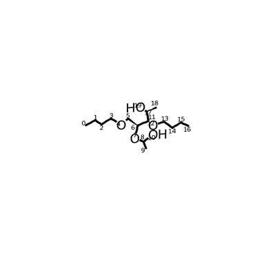 CCCCOC[C@H](OC(C)O)C(OCCCC)[C@H](C)O